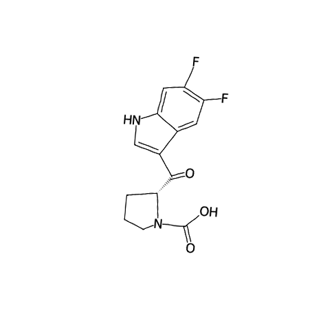 O=C(c1c[nH]c2cc(F)c(F)cc12)[C@H]1CCCN1C(=O)O